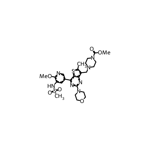 COC(=O)N1CCN(Cc2c(C)sc3c(-c4cnc(OC)c(NS(C)(=O)=O)c4)nc(N4CCOCC4)nc23)CC1